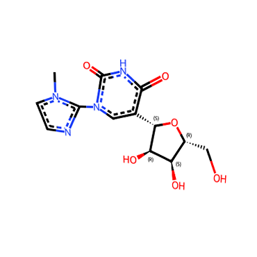 Cn1ccnc1-n1cc([C@@H]2O[C@H](CO)[C@@H](O)[C@H]2O)c(=O)[nH]c1=O